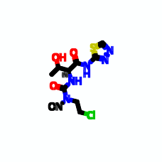 CC(O)[C@H](NC(=O)N(CCCl)N=O)C(=O)Nc1nncs1